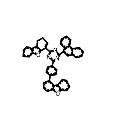 C1=C(c2nc(-c3ccc(-c4cccc5oc6ccccc6c45)cc3)nc(-c3cc4ccccc4c4ccccc34)n2)c2oc3ccccc3c2CC1